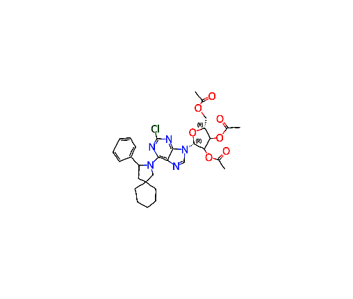 CC(=O)OC[C@H]1O[C@@H](n2cnc3c(N4CC5(CCCCC5)CC4c4ccccc4)nc(Cl)nc32)C(OC(C)=O)C1OC(C)=O